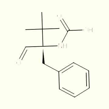 CC(C)(C)[C@](C=O)(Cc1ccccc1)NC(=O)O